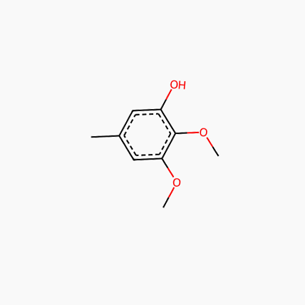 COc1cc(C)cc(O)c1OC